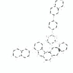 c1ccc(-c2nc(-c3ccc(-c4ccc5ccccc5c4)cc3)nc(-c3ccc(-c4ccc5ccccc5c4)c4oc5ccc6ccccc6c5c34)n2)cc1